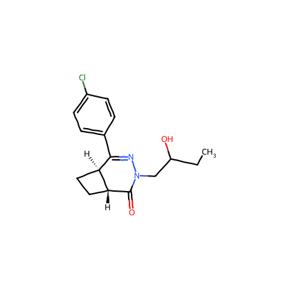 CCC(O)CN1N=C(c2ccc(Cl)cc2)[C@@H]2CC[C@H]2C1=O